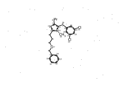 CC(C)c1nc(CCCOCc2ccccc2)n(C)c1Sc1cc(Cl)cc(Cl)c1